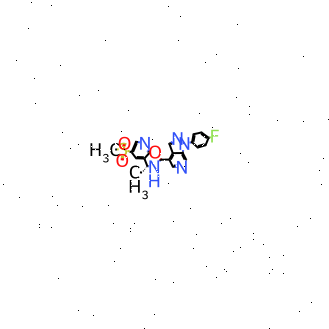 CC[C@@H](NC(=O)c1cncc2c1cnn2-c1ccc(F)cc1)c1cncc(S(C)(=O)=O)c1